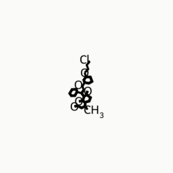 Cc1cc(=O)oc2c1ccc1oc(C(=O)c3cccc(OCCCCl)c3)c(-c3ccccc3)c12